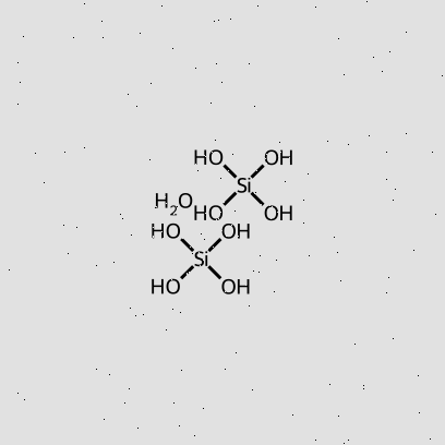 O.O[Si](O)(O)O.O[Si](O)(O)O